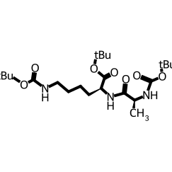 C[C@H](NC(=O)OC(C)(C)C)C(=O)N[C@@H](CCCCNC(=O)OC(C)(C)C)C(=O)OC(C)(C)C